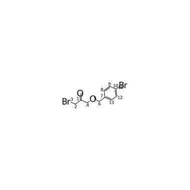 O=C(CBr)COCc1ccc(Br)cc1